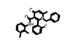 Cc1cccc(NC(=O)c2c(-c3ccccc3Cl)n(Cc3ccccc3)c(C)cc2=O)c1C